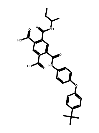 CCC(C)NC(=O)c1cc(C(=O)Nc2ccc(Oc3ccc(C(C)(C)C)cc3)cc2)c(C(=O)O)cc1C(=O)O